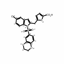 O=C(O)c1ccc(Cc2cc3cc(Cl)ccc3n2S(=O)(=O)c2ccc3c(c2)OCCO3)s1